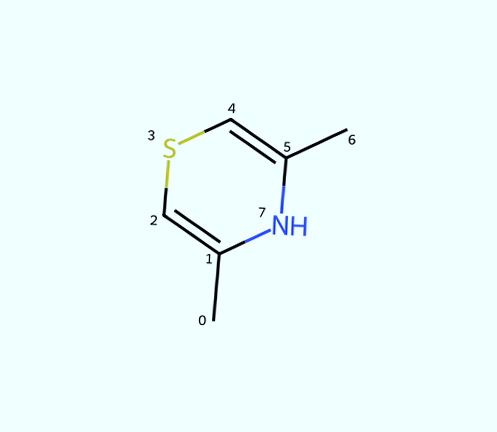 CC1=CSC=C(C)N1